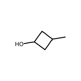 C[C]1CC(O)C1